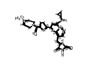 CN1CCN(C(=O)c2ccc(-c3cc(NC4CC4)n4ncc(/C=C5\NC(=O)NC5=O)c4n3)s2)CC1